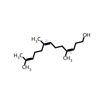 CC(C)=CCC/C(C)=C\CC/C(C)=C\CCO